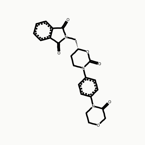 O=C1c2ccccc2C(=O)N1C[C@H]1CCN(c2ccc(N3CCOCC3=O)cc2)C(=O)O1